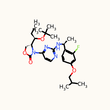 CC[C@@H](OC(C)(C)C)[C@H]1COC(=O)N1c1ccnc(N[C@@H](C)c2ccc(OCC(C)C)cc2F)n1